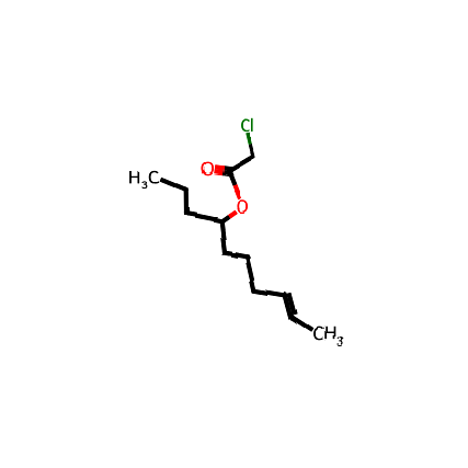 C/C=C/CCCC(CCC)OC(=O)CCl